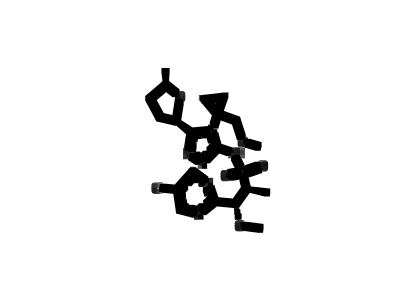 COCC1(n2c(NS(=O)(=O)[C@@H](C)[C@H](OC)c3ncc(Cl)cn3)nnc2[C@H]2CC[C@@H](C)O2)CC1